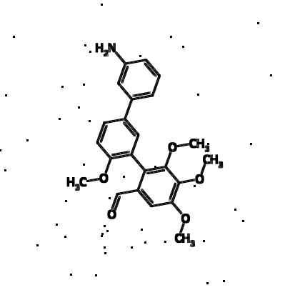 COc1ccc(-c2cccc(N)c2)cc1-c1c(C=O)cc(OC)c(OC)c1OC